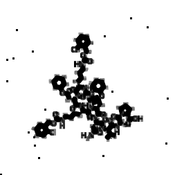 CC(C)[C@H](NC(=O)[C@H](CC(N)=O)NC(=O)[C@H](CC(=O)OC1CCCCC1)NC(=O)[C@H](CCCCNC(=O)OCc1ccccc1Cl)NC(=O)[C@H](CC(=O)OC1CCCCC1)NC(=O)[C@H](CCCCNC(=O)OCc1ccccc1Cl)NC(=O)OC(C)(C)C)C(=O)N[C@@H](C)C(=O)N1CCC[C@H]1C(=O)O